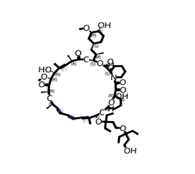 CCC(CC)(CCO)OCCC(CC)(CC)O[C@H]1C[C@@H]2CC[C@@H](C)[C@@](O)(O2)C(=O)C(=O)N2CCCC[C@H]2C(=O)O[C@H]([C@H](C)C[C@@H]2CC[C@@H](O)[C@H](OC)C2)CC(=O)[C@H](C)/C=C(\C)[C@@H](O)[C@@H](OC)C(=O)[C@H](C)C[C@H](C)/C=C/C=C/C=C/1C